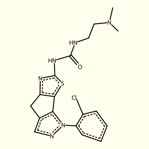 CN(C)CCNC(=O)Nc1nc2c(s1)-c1c(cnn1-c1ccccc1Cl)C2